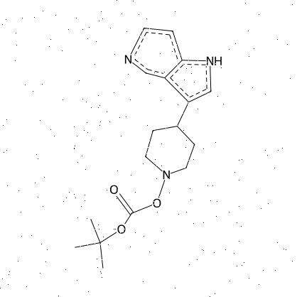 CC(C)(C)OC(=O)ON1CCC(c2c[nH]c3ccncc23)CC1